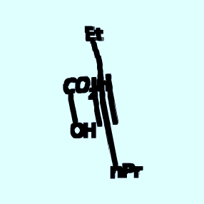 CCC#CCCC.O=C(O)O